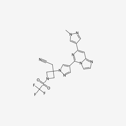 Cn1cc(-c2cc3nccn3c(-c3cnn(C4(CC#N)CN(S(=O)(=O)C(F)(F)F)C4)c3)n2)cn1